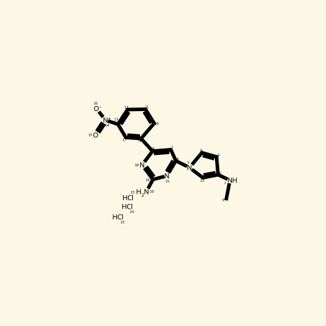 CNc1ccn(-c2cc(-c3cccc([N+](=O)[O-])c3)nc(N)n2)c1.Cl.Cl.Cl